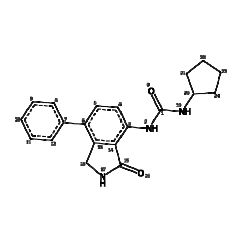 O=C(Nc1ccc(-c2ccccc2)c2c1C(=O)NC2)NC1CCCC1